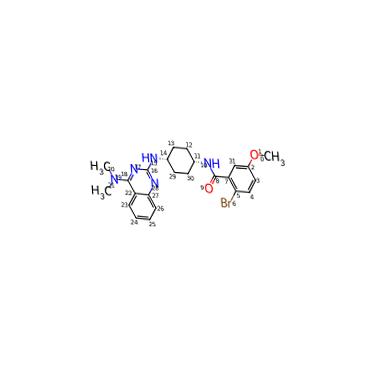 COc1ccc(Br)c(C(=O)N[C@H]2CC[C@@H](Nc3nc(N(C)C)c4ccccc4n3)CC2)c1